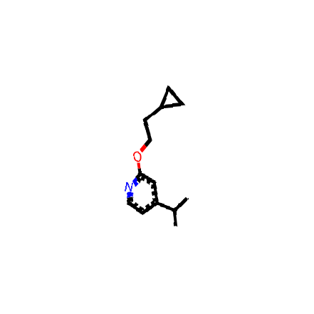 CC(C)c1ccnc(OCCC2CC2)c1